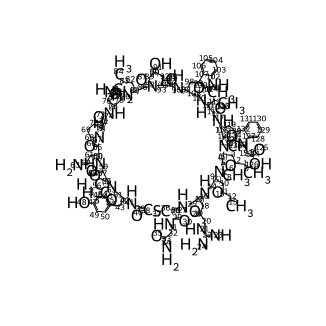 CCCC[C@H]1C(=O)N(C)[C@@H](CCCC)C(=O)N[C@@H](CCCNC(=N)N)C(=O)N[C@H](C(=O)NCC(N)=O)CSCC(=O)N[C@@H](Cc2ccc(O)cc2)C(=O)N(C)[C@@H](C)C(=O)N[C@@H](CC(N)=O)C(=O)N2CCC[C@H]2C(=O)N[C@@H](CN)C(=O)N[C@@H](CC(C)C)C(=O)N2C[C@H](O)C[C@H]2C(=O)N[C@@H](Cc2c[nH]c3ccccc23)C(=O)N[C@@H](C(C)C)C(=O)N[C@@H](Cc2cn(CC(=O)O)c3ccccc23)C(=O)N1C